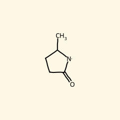 CC1CCC(=O)[N]1